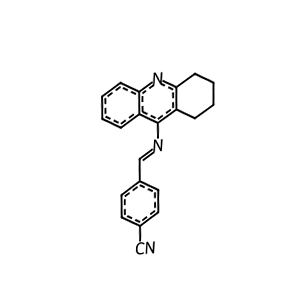 N#Cc1ccc(C=Nc2c3c(nc4ccccc24)CCCC3)cc1